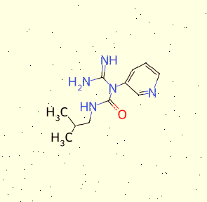 CC(C)CNC(=O)N(C(=N)N)c1cccnc1